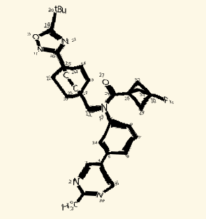 Cc1ncc(-c2cccc(N(CC34CCC(c5noc(C(C)(C)C)n5)(CC3)CC4)C(=O)C34CC(F)(C3)C4)c2)cn1